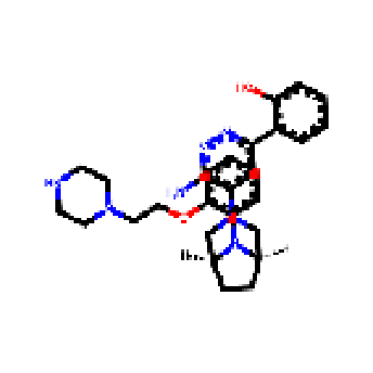 Nc1nnc(-c2ccccc2O)cc1N1C[C@H]2CC[C@@H](C1)N2c1ccccc1OCCN1CCNCC1